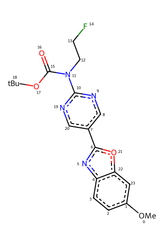 COc1ccc2nc(-c3cnc(N(CCF)C(=O)OC(C)(C)C)nc3)oc2c1